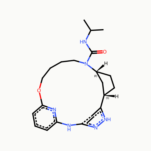 CC(C)NC(=O)N1CCCCOc2cccc(n2)Nc2cc([nH]n2)[C@H]2CC[C@@H]1C2